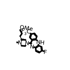 COCCC[C@H]1CN(C2=Nc3ccc(F)cc3Nc3ccc(C(F)(F)F)cc32)CCN1C